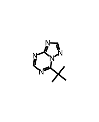 CC(C)(C)c1ncnc2ncnn12